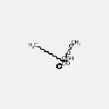 CCCCCCCCCCCCCCC(OCCOCCOCC)(Oc1ccccc1)C(=O)O